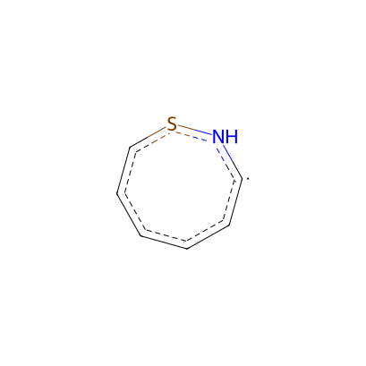 [c]1cccccs[nH]1